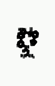 CN(C)CC(=O)Nc1cncc(-c2cc3c(-c4nc5c(-c6ccoc6)cccc5[nH]4)n[nH]c3cn2)c1